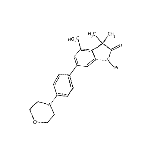 CC(C)N1C(=O)C(C)(C)c2c(C(=O)O)cc(-c3ccc(N4CCOCC4)cc3)cc21